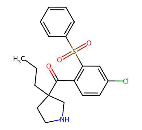 CCCC1(C(=O)c2ccc(Cl)cc2S(=O)(=O)c2ccccc2)CCNC1